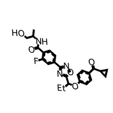 CCC(Oc1ccc(C(=O)C2CC2)cc1)c1nc(-c2ccc(C(=O)NC(C)CO)c(F)c2)no1